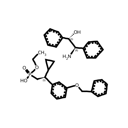 CCOP(=O)(O)C[C@H](c1cccc(OCc2ccccc2)c1)C1CC1.N[C@H](c1ccccc1)[C@@H](O)c1ccccc1